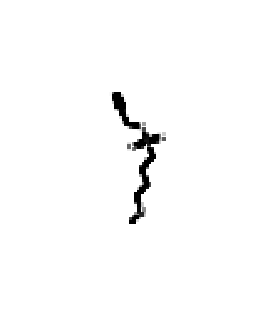 C#CCOS(=O)(=O)CCCCOC